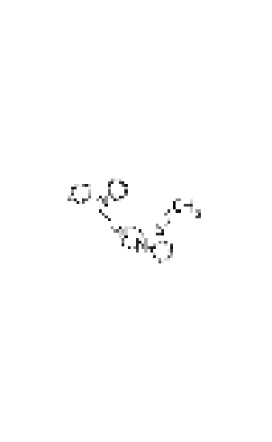 CCCSc1ccccc1N1CCN(CCCN(c2ccccc2)c2ccccc2)CC1